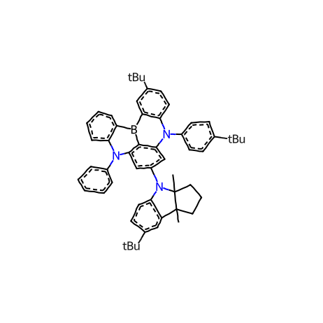 CC(C)(C)c1ccc(N2c3ccc(C(C)(C)C)cc3B3c4ccccc4N(c4ccccc4)c4cc(N5c6ccc(C(C)(C)C)cc6C6(C)CCCC56C)cc2c43)cc1